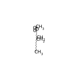 C=C.CCCCCCCCCCCCCCCCCC(=O)OC(C)=O